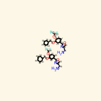 NCc1coc(-c2ccc(OC(F)F)c(OCc3ccccc3)c2)n1.NCc1coc(-c2ccc(OC(F)F)c(OCc3ccccc3)c2)n1